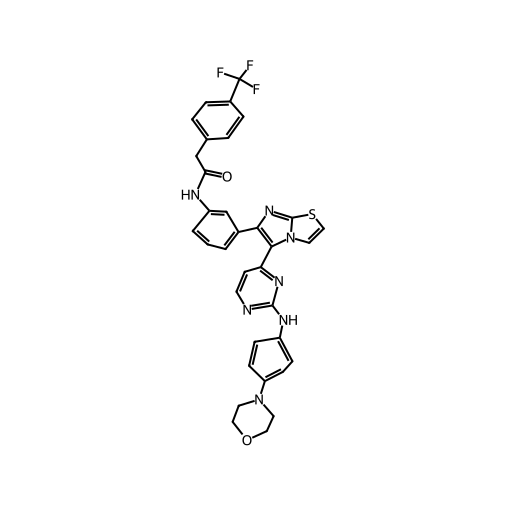 O=C(Cc1ccc(C(F)(F)F)cc1)Nc1cccc(-c2nc3sccn3c2-c2ccnc(Nc3ccc(N4CCOCC4)cc3)n2)c1